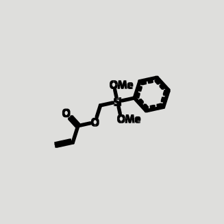 C=CC(=O)OC[Si](OC)(OC)c1ccccc1